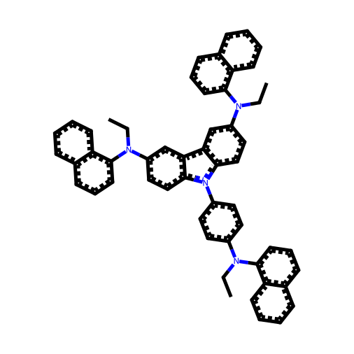 CCN(c1ccc(-n2c3ccc(N(CC)c4cccc5ccccc45)cc3c3cc(N(CC)c4cccc5ccccc45)ccc32)cc1)c1cccc2ccccc12